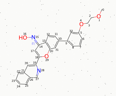 COCCOc1cccc(-c2ccc3/c(=N/O)cc(-c4cc5ccccc5cn4)oc3c2)c1